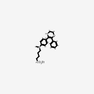 CCOC(=O)CCCCN(C)c1ccc(C2=C(c3ccccc3)OCCS2)cc1